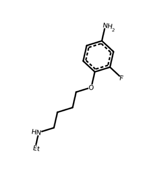 CCNCCCCOc1ccc(N)cc1F